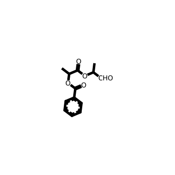 CC(C=O)OC(=O)C(C)OC(=O)c1ccccc1